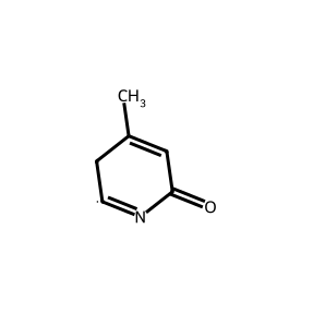 CC1=CC(=O)N=[C]C1